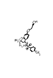 C#CCOc1ccc2c(c1)OC(C)(C)CC2=NNS(=O)(=O)c1ccc(C)cc1